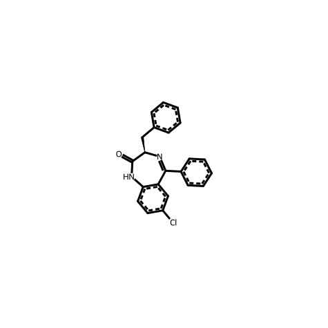 O=C1Nc2ccc(Cl)cc2C(c2ccccc2)=N[C@@H]1Cc1ccccc1